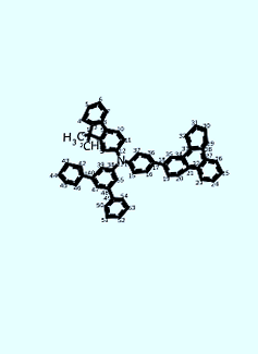 CC1(C)c2ccccc2-c2ccc(N(c3ccc(-c4ccc5c6ccccc6c6ccccc6c5c4)cc3)c3cc(-c4ccccc4)cc(-c4ccccc4)c3)cc21